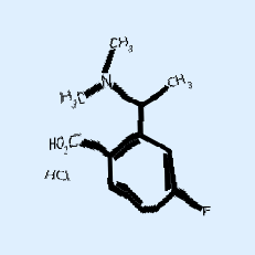 CC(c1cc(F)ccc1C(=O)O)N(C)C.Cl